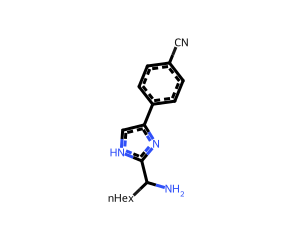 CCCCCCC(N)c1nc(-c2ccc(C#N)cc2)c[nH]1